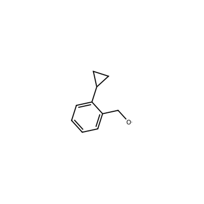 [O]Cc1ccccc1C1CC1